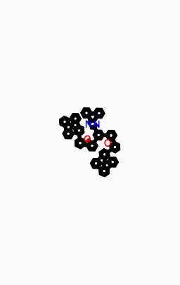 c1ccc2c(c1)-c1ccccc1C21c2ccccc2-c2ccc(-c3cccc4c3oc3c(-c5cc(-c6cnc7c8ccccc8c8ccccc8c7n6)cc(-c6cccc7c6oc6c(-c8ccc9c(c8)C8(c%10ccccc%10-c%10ccccc%108)c8ccccc8-9)cccc67)c5)cccc34)cc21